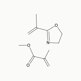 C=C(C)C(=O)OC.C=C(C)C1=NCCO1